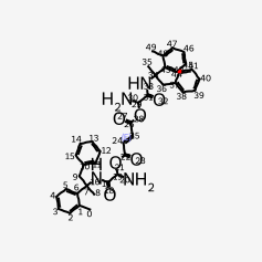 Cc1ccccc1C(C)(Cc1ccccc1)NC(=O)C(N)OC(=O)/C=C/C(=O)OC(N)C(=O)NC(C)(Cc1ccccc1)c1ccccc1C